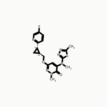 Cc1nnc(N(C)c2cc(OC[C@H]3C[C@@H]3c3ccc(F)cn3)nn(C)c2=O)s1